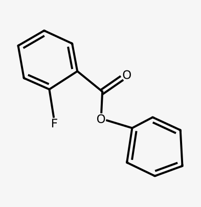 O=C(Oc1ccccc1)c1ccccc1F